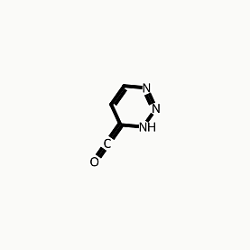 O=C=C1C=CN=NN1